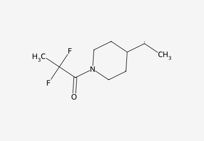 C[CH]C1CCN(C(=O)C(C)(F)F)CC1